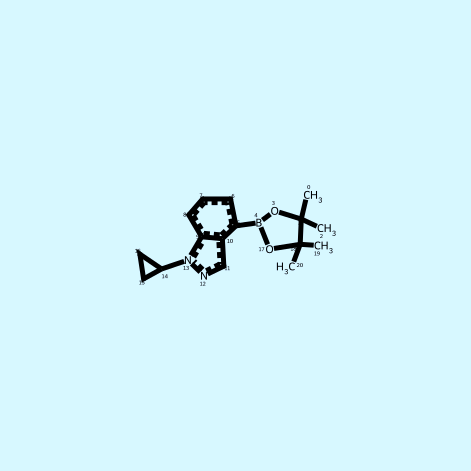 CC1(C)OB(c2cccc3c2cnn3C2CC2)OC1(C)C